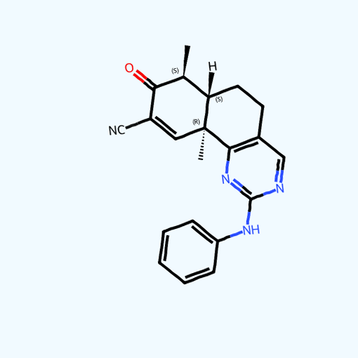 C[C@@H]1C(=O)C(C#N)=C[C@]2(C)c3nc(Nc4ccccc4)ncc3CC[C@@H]12